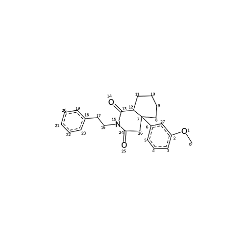 COc1cccc(C23CCCCC2C(=O)N(CCc2ccccc2)C(=O)C3)c1